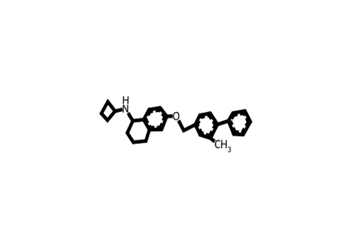 Cc1cc(COc2ccc3c(c2)CCCC3NC2CCC2)ccc1-c1ccccc1